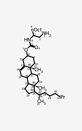 CCCCCCCCC(CN)NC(=O)OC1CC[C@@]2(C)C(=CCC3C2CC[C@@]2(C)C3CC[C@@H]2[C@H](C)CCCC(C)C)C1